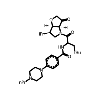 CCCN1CCN(c2ccc(C(=O)NC(CC(C)(C)C)C(=O)N3C[C@@H](C(C)C)[C@H]4OCC(=O)[C@H]43)cc2)CC1